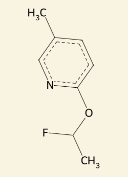 Cc1ccc(OC(C)F)nc1